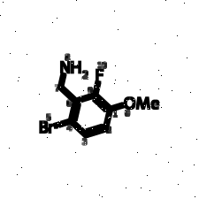 COc1ccc(Br)c(CN)c1F